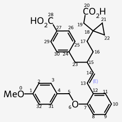 COc1ccc(COc2ccccc2/C=C/C(CCC2(CC(=O)O)CC2)Cc2ccc(C(=O)O)cc2)cc1